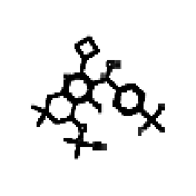 CC1(C)Cc2nc(C3CCC3)c([C@@H](O)c3ccc(C(C)(F)F)cc3)c(I)c2C(O[Si](C)(C)C(C)(C)C)C1